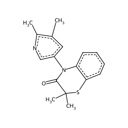 Cc1cc(N2C(=O)C(C)(C)Sc3ccccc32)cnc1C